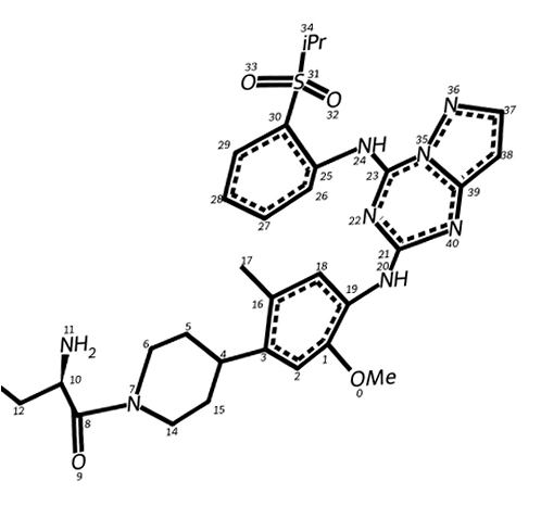 COc1cc(C2CCN(C(=O)[C@H](N)CO)CC2)c(C)cc1Nc1nc(Nc2ccccc2S(=O)(=O)C(C)C)n2nccc2n1